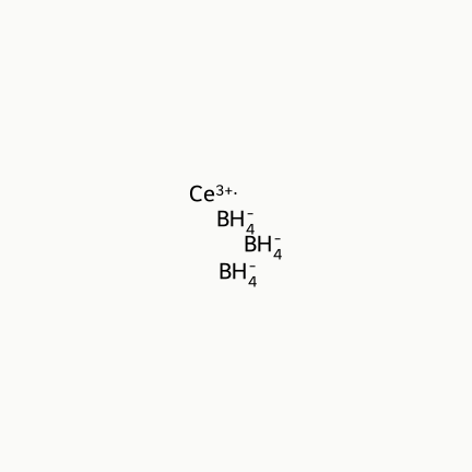 [BH4-].[BH4-].[BH4-].[Ce+3]